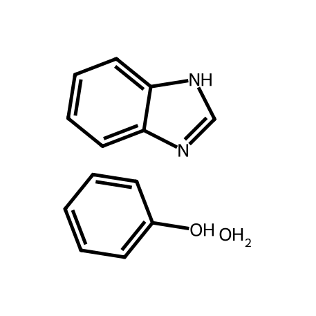 O.Oc1ccccc1.c1ccc2[nH]cnc2c1